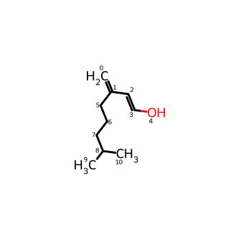 C=C(C=CO)CCCC(C)C